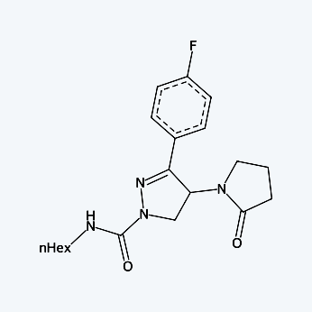 CCCCCCNC(=O)N1CC(N2CCCC2=O)C(c2ccc(F)cc2)=N1